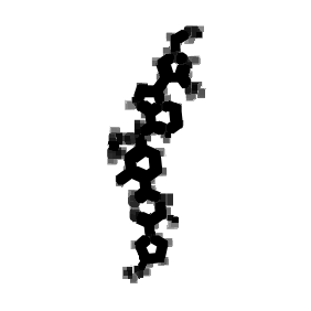 Cc1cc(Nc2nccn3c(-c4cn(CC#N)nc4C(F)(F)F)cnc23)ccc1C(=O)N[C@H](C)C(=O)N1CC[C@@H](N)C1.O=CO